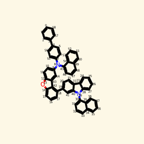 c1ccc(-c2ccc(N(c3ccc4oc5cccc(-c6ccc7c8ccccc8n(-c8cccc9ccccc89)c7c6)c5c4c3)c3cccc4ccccc34)cc2)cc1